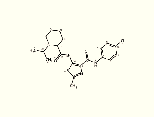 Cc1nc(C(=O)Nc2ccc(Cl)cn2)c(NC(=O)C2CCCCN2C(C)C)s1